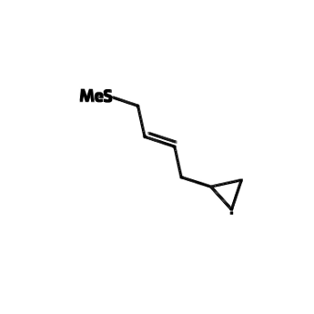 CSCC=CCC1[CH]C1